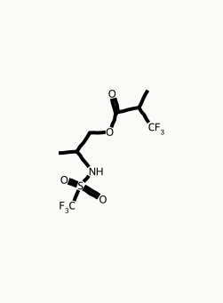 CC(COC(=O)C(C)C(F)(F)F)NS(=O)(=O)C(F)(F)F